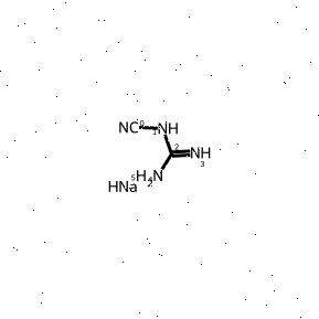 N#CNC(=N)N.[NaH]